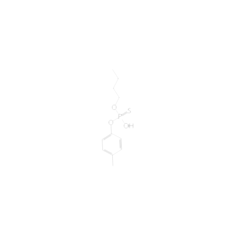 CCCCOP(O)(=S)Oc1ccc(C)cc1